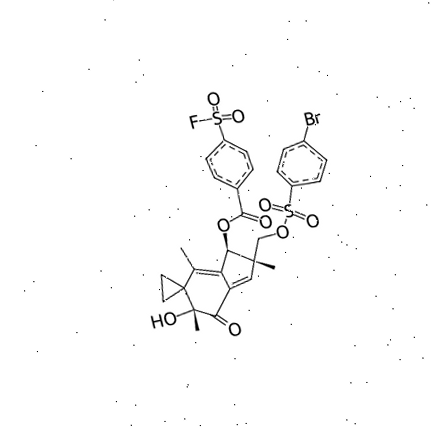 CC1=C2C(=C[C@@](C)(COS(=O)(=O)c3ccc(Br)cc3)[C@@H]2OC(=O)c2ccc(S(=O)(=O)F)cc2)C(=O)[C@](C)(O)C12CC2